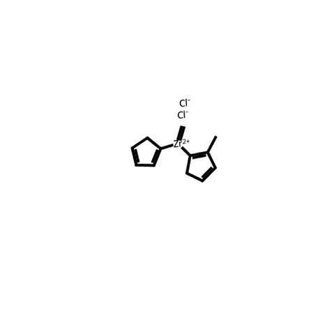 [CH2]=[Zr+2]([C]1=CC=CC1)[C]1=C(C)C=CC1.[Cl-].[Cl-]